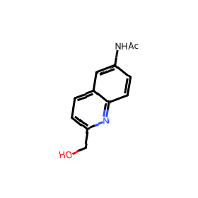 CC(=O)Nc1ccc2nc(CO)ccc2c1